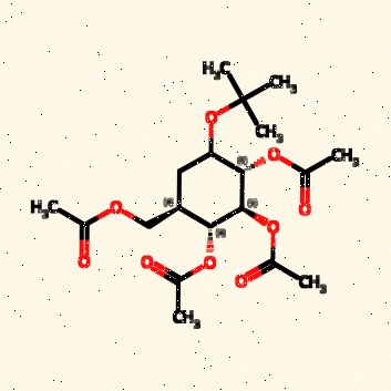 CC(=O)OC[C@H]1CC(OC(C)(C)C)[C@H](OC(C)=O)[C@@H](OC(C)=O)[C@@H]1OC(C)=O